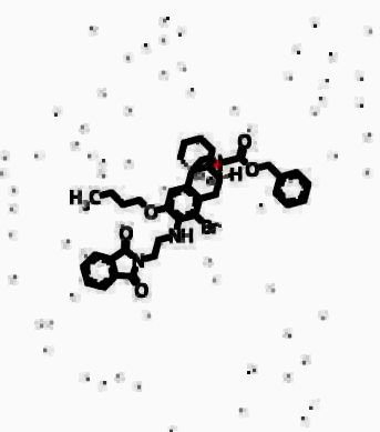 CCCCOc1cc2c(c(Br)c1NCCN1C(=O)c3ccccc3C1=O)C[C@H]1[C@H]3CCCC[C@@]23CCN1C(=O)OCc1ccccc1